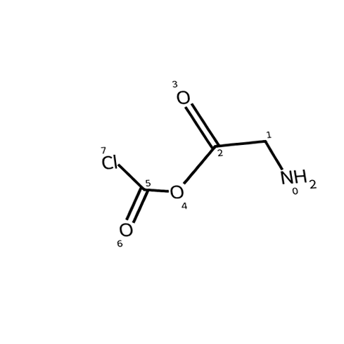 NCC(=O)OC(=O)Cl